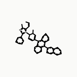 C/C=C\c1c(C)nc(-c2ccccc2)n1C1C=CC(c2c3ccccc3c(-c3ccc4ccccc4c3)c3ccccc23)=CC1C